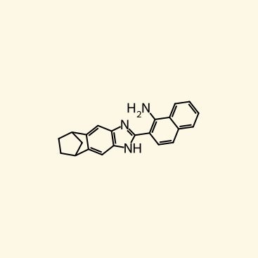 Nc1c(-c2nc3cc4c(cc3[nH]2)C2CCC4C2)ccc2ccccc12